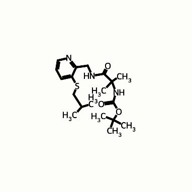 CC(C)CSc1cccnc1CNC(=O)C(C)(C)NC(=O)OC(C)(C)C